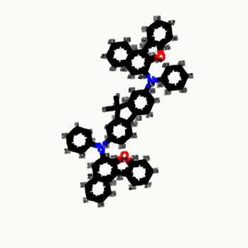 CC1(C)c2cc(N(c3ccccc3)c3cc4ccccc4c4c3oc3ccccc34)ccc2-c2ccc(N(c3ccccc3)c3cc4ccccc4c4c3oc3ccccc34)cc21